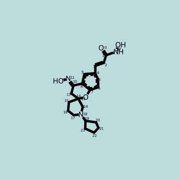 O=C(/C=C/c1ccc2c(c1)/C(=N/O)CC1(CCCN(C3CCCC3)C1)O2)NO